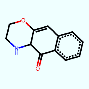 O=C1c2ccccc2C=C2OCCNC12